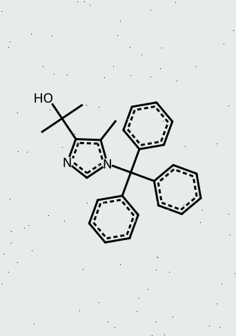 Cc1c(C(C)(C)O)ncn1C(c1ccccc1)(c1ccccc1)c1ccccc1